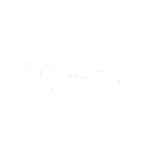 CCn1c(C#Cc2ccc(C(F)(F)F)cc2)c(N)c2cc(OC)ccc21